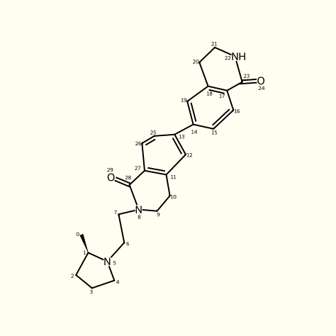 C[C@@H]1CCCN1CCN1CCc2cc(-c3ccc4c(c3)CCNC4=O)ccc2C1=O